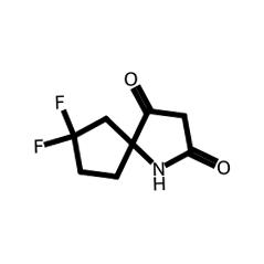 O=C1CC(=O)C2(CCC(F)(F)C2)N1